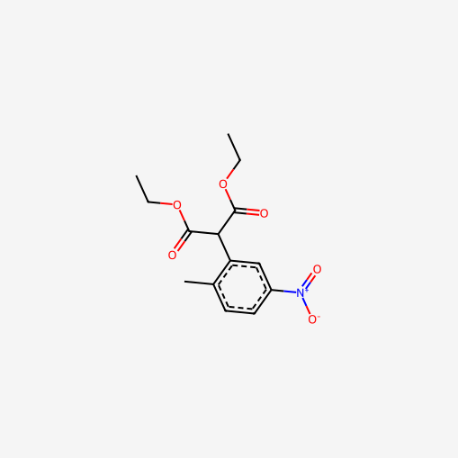 CCOC(=O)C(C(=O)OCC)c1cc([N+](=O)[O-])ccc1C